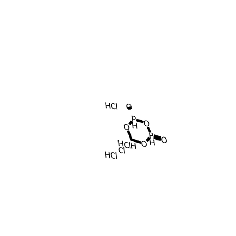 Cl.Cl.Cl.Cl.O=[PH]1OCO[PH](=O)O1